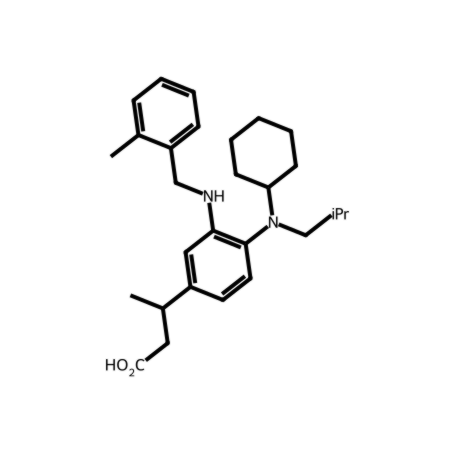 Cc1ccccc1CNc1cc(C(C)CC(=O)O)ccc1N(CC(C)C)C1CCCCC1